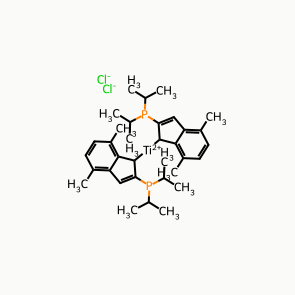 Cc1ccc(C)c2c1C=C(P(C(C)C)C(C)C)[CH]2[Ti+2][CH]1C(P(C(C)C)C(C)C)=Cc2c(C)ccc(C)c21.[Cl-].[Cl-]